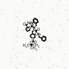 CC(C)(C)OC(=O)N1CCC(CN(C(=O)OOCc2ccccc2)[C@H](Cc2ccccc2)C(=O)N2CCC[C@H]2C(N)=O)CC1